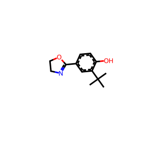 CC(C)(C)c1cc(C2=NCCO2)ccc1O